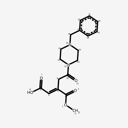 COC(=O)/C(=C/C(=O)O)CC(=O)N1CCN(Cc2ccccc2)CC1